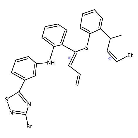 C=C/C=C(\Sc1ccccc1C(C)/C=C\CC)c1ccccc1Nc1cccc(-c2nc(Br)ns2)c1